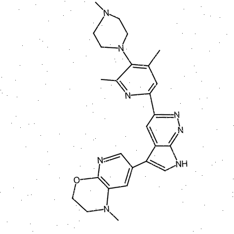 Cc1cc(-c2cc3c(-c4cnc5c(c4)N(C)CCO5)c[nH]c3nn2)nc(C)c1N1CCN(C)CC1